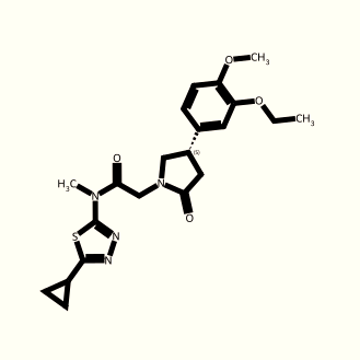 CCOc1cc([C@@H]2CC(=O)N(CC(=O)N(C)c3nnc(C4CC4)s3)C2)ccc1OC